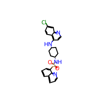 O=S(=O)(N[C@H]1CC[C@@H](Nc2ccnc3cc(Cl)ccc23)CC1)c1cccc2cccnc12